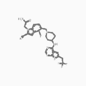 N#Cc1cc2c(F)c(CN3CCC(Nc4ncnc5sc(CC(F)(F)F)cc45)CC3)ccc2n1CC(N)=O